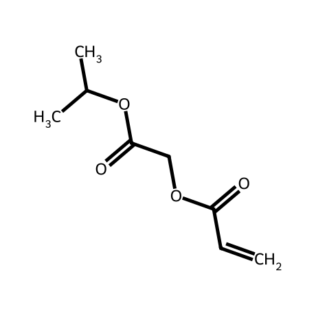 C=CC(=O)OCC(=O)OC(C)C